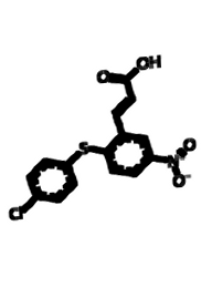 O=C(O)C=Cc1cc([N+](=O)[O-])ccc1Sc1ccc(Cl)cc1